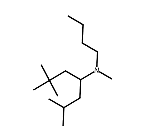 CCCCN(C)C(CC(C)C)CC(C)(C)C